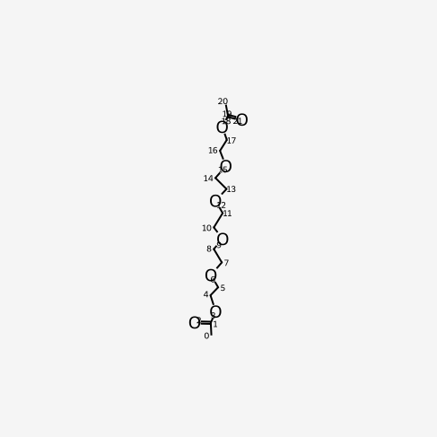 CC(=O)OCCOCCOCCOCCOCCOC(C)=O